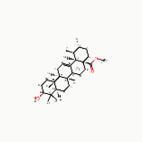 CC(C)OC(=O)[C@]12CC[C@@H](C)[C@H](C)[C@H]1C1=CC[C@@H]3[C@@]4(C)CC[C@H](O)C(C)(C)[C@@H]4CC[C@@]3(C)[C@]1(C)CC2